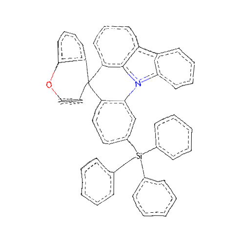 c1ccc([Si](c2ccccc2)(c2ccccc2)c2ccc3c(c2)-n2c4ccccc4c4cccc(c42)C32c3ccccc3Oc3ccccc32)cc1